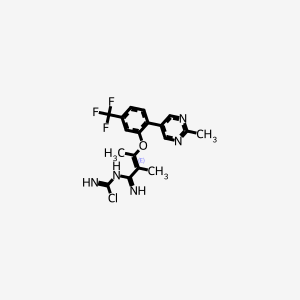 C/C(Oc1cc(C(F)(F)F)ccc1-c1cnc(C)nc1)=C(/C)C(=N)NC(=N)Cl